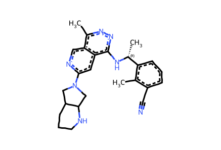 Cc1c(C#N)cccc1[C@@H](C)Nc1nnc(C)c2cnc(N3CC4CCCNC4C3)cc12